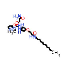 CCCCCCCCCCCCNC(=O)CCCOc1ccc(NC(NC(=O)CCC(N)=O)C(=O)N(CC)c2ccccn2)cc1